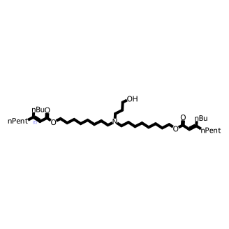 CCCCCC(=CC(=O)OCCCCCCCCN(CCCO)CCCCCCCCOC(=O)/C=C(\CCCC)CCCCC)CCCC